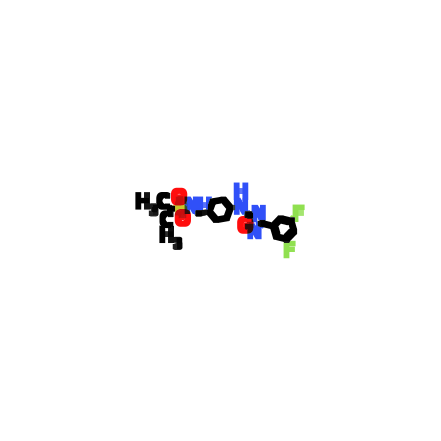 CC(C)S(=O)(=O)NC[C@H]1CC[C@H](Nc2nc(-c3cc(F)cc(F)c3)no2)CC1